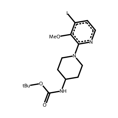 COc1c(I)ccnc1N1CCC(NC(=O)OC(C)(C)C)CC1